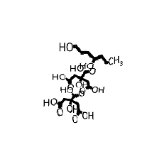 CCCC(O)CCCO.O=C(O)CC(O)(CC(=O)O)C(=O)O.O=C(O)CC(O)(CC(=O)O)C(=O)O